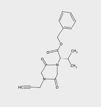 C#CCN1CC(=O)N([C@H](C(=O)OCc2ccccc2)C(C)C)CC1=O